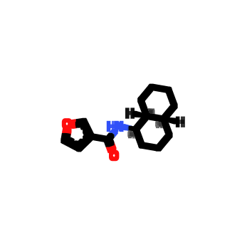 O=C(N[C@@H]1CCC[C@H]2CCCC[C@H]21)c1ccoc1